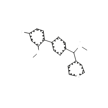 COc1cc(F)ccc1-c1ccc(C(OC)c2ccncc2)cc1